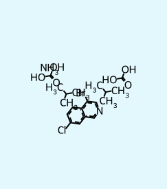 CC(C)C.CC(C)C.Clc1ccc2c(Br)cncc2c1.N.O=C(O)O.O=C(O)O